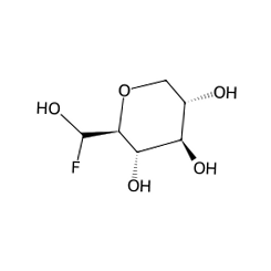 OC(F)[C@H]1OC[C@H](O)[C@@H](O)[C@@H]1O